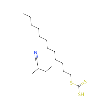 CCC(C)C#N.CCCCCCCCCCCCSC(=S)S